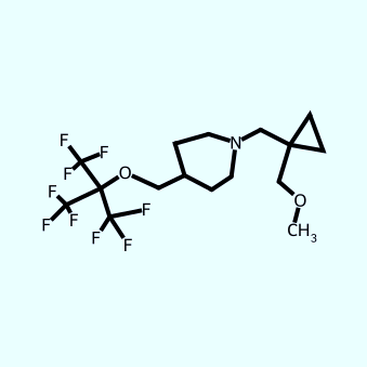 COCC1(CN2CCC(COC(C(F)(F)F)(C(F)(F)F)C(F)(F)F)CC2)CC1